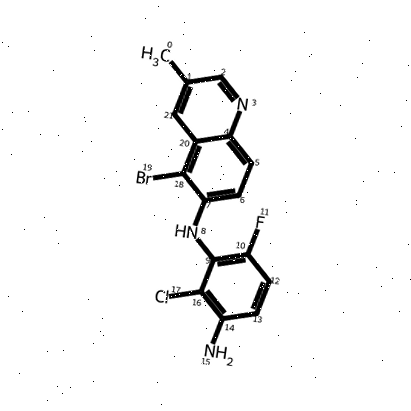 Cc1cnc2ccc(Nc3c(F)ccc(N)c3Cl)c(Br)c2c1